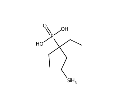 CCC(CC)(CC[SiH3])P(=O)(O)O